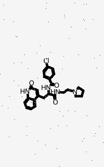 O=C(NC(Cc1cc(=O)[nH]c2ccccc12)C(=O)NCCN1CCCC1)c1ccc(Cl)cc1